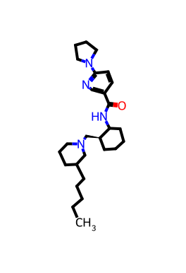 CCCCCC1CCCN(C[C@@H]2CCCCC2NC(=O)c2ccc(N3CCCC3)nc2)C1